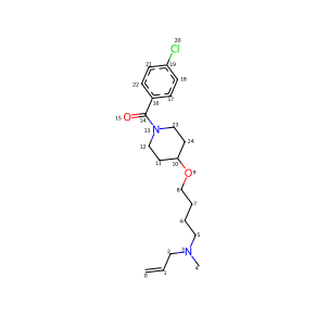 C=CCN(C)CCCCOC1CCN(C(=O)c2ccc(Cl)cc2)CC1